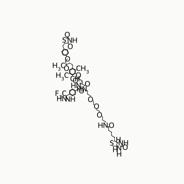 Cc1c(C)c2c(c(C)c1OC(=O)C[C@@H](NC(=O)c1ccc(C3(C(F)(F)F)NN3)cc1)C(=O)NCCCOCCOCCOCCCNC(=O)CCCC[C@@H]1SC[C@@H]3NC(=O)N[C@@H]31)CCC(C)(COc1ccc(CC3SC(=O)NC3=O)cc1)O2